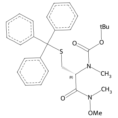 CON(C)C(=O)[C@H](CSC(c1ccccc1)(c1ccccc1)c1ccccc1)N(C)C(=O)OC(C)(C)C